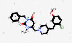 CC(C)Oc1ccc(Cl)c(CC2CCN(CC3CC(=O)N(Cc4ccccc4)C(=O)N3C)CC2)c1